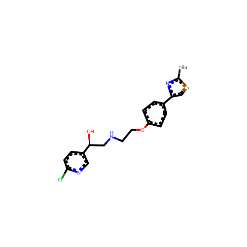 CCCCc1nc(-c2ccc(OCCNC[C@H](O)c3ccc(Cl)nc3)cc2)cs1